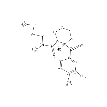 CCCCN(C)C(=O)C1CCCCC1(O)C(=O)c1ccc(C)c(C)c1